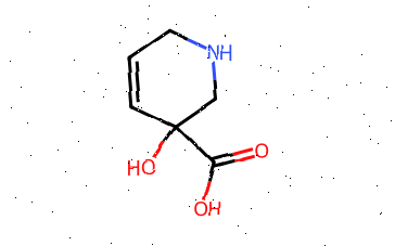 O=C(O)C1(O)C=CCNC1